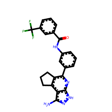 Nc1n[nH]c2nc(-c3cccc(NC(=O)c4cccc(C(F)(F)F)c4)c3)c3c(c12)CCC3